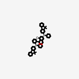 CC1(C)c2ccccc2-c2ccc(N(c3ccccc3)c3cc4c5c(cccc5c3)-c3c(cccc3N(c3ccccc3)c3ccc5c(c3)C(C)(C)c3ccccc3-5)O4)cc21